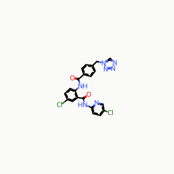 O=C(Nc1ccc(Cl)cc1C(=O)Nc1ccc(Cl)cn1)c1ccc(Cn2cnnn2)cc1